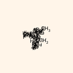 C=C[C@@H]1C[C@]1(NC(=O)C1CC(OC(=O)N2Cc3cccc(F)c3C2)CN1C(=O)[C@H](CCC(=O)/C=C/C)NC(=O)OC(C)(C)C)C(=O)NS(=O)(=O)C1CC1